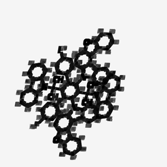 CC(C)(c1c(-c2ccc(F)cc2)c(-n2c3ccccc3c3c4c(ccc32)oc2ccccc24)c(C(C)(C)n2c3ccccc3c3ccccc32)c(-n2c3ccccc3c3c4c(ccc32)oc2ccccc24)c1-c1ccc(F)cc1)n1c2ccccc2c2ccccc21